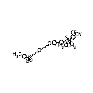 Cc1ccc(S(=O)(=O)OCCCCCOCCCCCOc2ccc(-c3ccc(N4C(=S)N(c5ccc(C#N)c(C(F)(F)F)c5)C(=O)C4(C)C)cc3)cc2)cc1